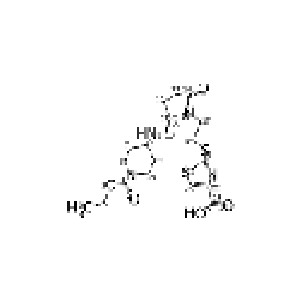 CCOC(=O)N1CCC(NC[C@H]2CCC(=O)N2CCSc2nc(C(=O)O)cs2)CC1